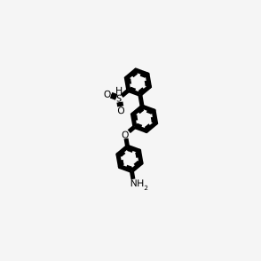 Nc1ccc(Oc2cccc(-c3ccccc3[SH](=O)=O)c2)cc1